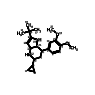 COc1ccc(C2CC(C3CC3)NC3C=C(C(C)(C)C)NN32)cc1OC